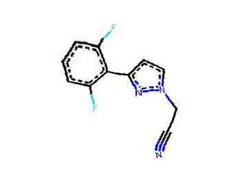 N#CCn1ccc(-c2c(F)cccc2F)n1